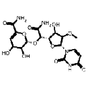 COC1C(O)[C@@H](C(O[C@H]2OC(C(N)=O)=CC(O)C2O)C(N)=O)O[C@H]1n1ccc(=O)[nH]c1=O